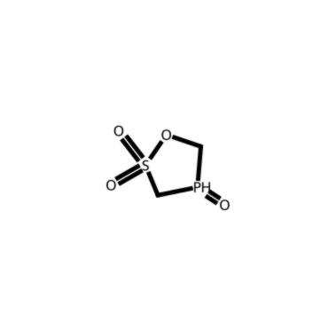 O=[PH]1COS(=O)(=O)C1